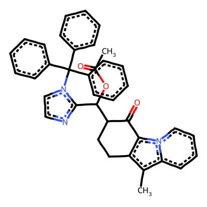 CC(=O)OC(c1nccn1C(c1ccccc1)(c1ccccc1)c1ccccc1)C1CCc2c(C)c3ccccn3c2C1=O